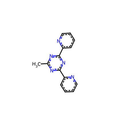 Cc1nc(-c2ccccn2)nc(-c2ccccn2)n1